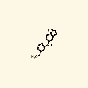 CCc1ccnc(Nc2ccc3[nH]ccc3c2)c1